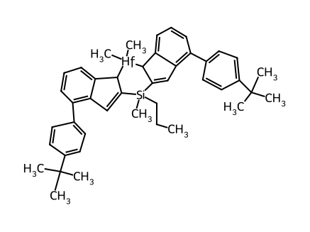 CCC[Si]1(C)C2=Cc3c(-c4ccc(C(C)(C)C)cc4)cccc3[CH]2[Hf]([CH3])([CH3])[CH]2C1=Cc1c(-c3ccc(C(C)(C)C)cc3)cccc12